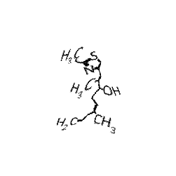 C=CC/C(C)=C\C[C@H](O)/C(C)=C/c1csc(CC)n1